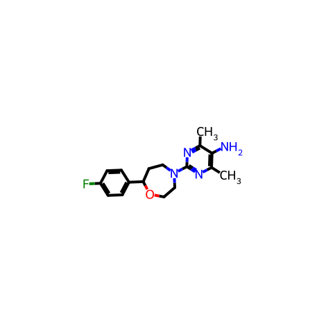 Cc1nc(N2CCOC(c3ccc(F)cc3)CC2)nc(C)c1N